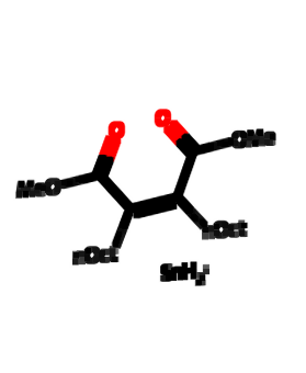 CCCCCCCC/C(C(=O)OC)=C(\CCCCCCCC)C(=O)OC.[SnH2]